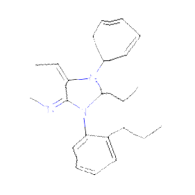 C/C=C1\C(=N/C)N(c2ccccc2CCC)C(CC)N1C1C=CC=CC1